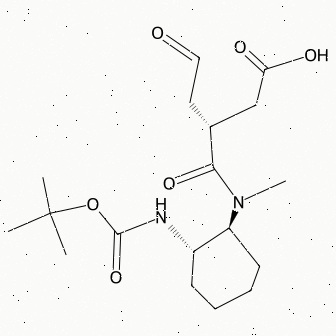 CN(C(=O)[C@H](CC=O)CC(=O)O)[C@H]1CCCC[C@@H]1NC(=O)OC(C)(C)C